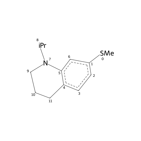 CSc1ccc2c(c1)N(C(C)C)CCC2